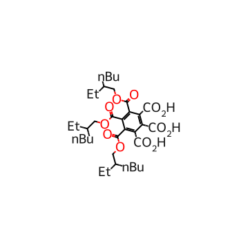 CCCCC(CC)COC(=O)c1c(C(=O)O)c(C(=O)O)c(C(=O)O)c(C(=O)OCC(CC)CCCC)c1C(=O)OCC(CC)CCCC